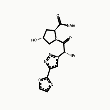 CNC(=O)[C@@H]1C[C@@H](O)CN1C(=O)[C@H](C(C)C)n1cc(-c2ncco2)nn1